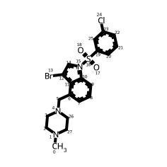 CN1CCN(Cc2cccc3c2c(Br)cn3S(=O)(=O)c2cccc(Cl)c2)CC1